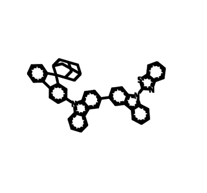 c1ccc2c(c1)-c1ccc(-n3c4ccccc4c4cc(-c5ccc6c(c5)c5ccccc5n6-c5nc6ccccc6s5)ccc43)cc1C21C2CC3CC(C2)CC1C3